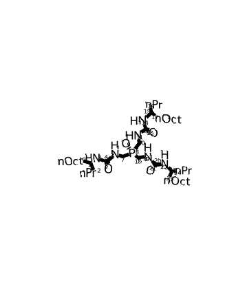 CCCCCCCCC(CCC)NC(=O)NCP(=O)(CNC(=O)NC(CCC)CCCCCCCC)CNC(=O)NC(CCC)CCCCCCCC